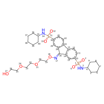 O=S(=O)(NC1CCCCC1)c1ccc2c(c1)C(=NOCCOCCOCCO)c1cc(S(=O)(=O)NC3CCCCC3)ccc1-2